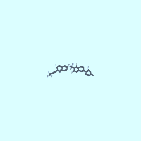 Cc1ccc(-c2ccc3c(F)c(C(F)(F)Oc4ccc5c(F)c(C#CC(F)(F)F)c(F)cc5c4)c(F)cc3c2)c(F)c1